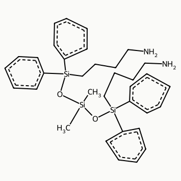 C[Si](C)(O[Si](CCCCN)(c1ccccc1)c1ccccc1)O[Si](CCCCN)(c1ccccc1)c1ccccc1